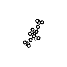 C=C(/C=C\C(=C/C)N1c2ccccc2C2(C)CCCCC12C)c1cc2c(c3c1oc1ccccc13)-c1ccc(-c3ccc(N4c5ccccc5C5(C)CCCCC45C)cc3)cc1C21c2ccccc2-c2ccccc21